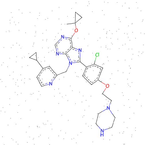 CC1(Oc2ncnc3c2nc(-c2ccc(OCCN4CCNCC4)cc2Cl)n3Cc2cc(C3CC3)ccn2)CC1